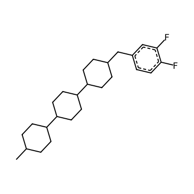 CC1CCC(C2CCC(C3CCC(Cc4ccc(F)c(F)c4)CC3)CC2)CC1